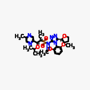 COc1cccc(OC)c1-n1c(NS(=O)(=O)[C@@H](C)[C@@H](OC(C)C)c2cnc(C)cn2)nnc1[C@H]1CCCO1